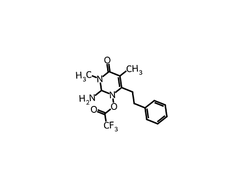 CC1=C(CCc2ccccc2)N(OC(=O)C(F)(F)F)C(N)N(C)C1=O